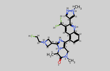 CC1C(=O)N(C)Cc2c(-c3cccc4nc(-c5cnn(C)c5)c(C(F)F)cc34)nc(C3CN(CCF)C3)n21